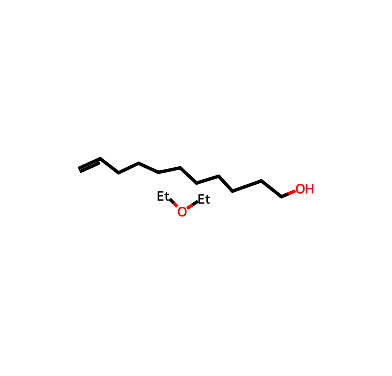 C=CCCCCCCCCCO.CCOCC